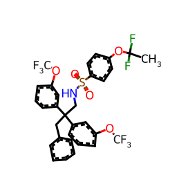 CC(F)(F)Oc1ccc(S(=O)(=O)NCC(Cc2ccccc2)(c2cccc(OC(F)(F)F)c2)c2cccc(OC(F)(F)F)c2)cc1